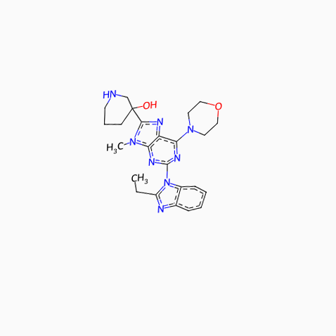 CCc1nc2ccccc2n1-c1nc(N2CCOCC2)c2nc(C3(O)CCCNC3)n(C)c2n1